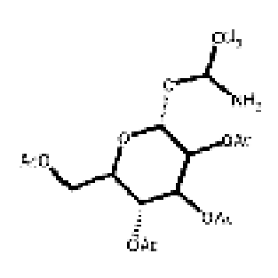 CC(=O)OCC1O[C@H](OC(N)C(Cl)(Cl)Cl)C(OC(C)=O)C(OC(C)=O)[C@@H]1OC(C)=O